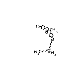 CCCCCN(C)CCCCCCOC1CCC(N(C)C(=O)Oc2ccc(Cl)cc2)CC1